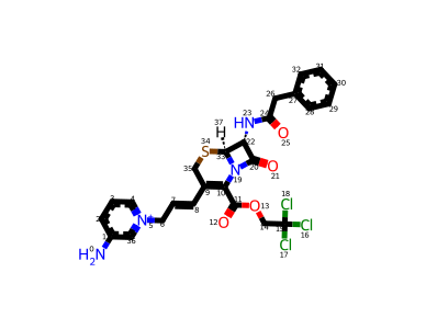 Nc1ccc[n+](C/C=C/C2=C(C(=O)OCC(Cl)(Cl)Cl)N3C(=O)[C@@H](NC(=O)Cc4ccccc4)[C@@H]3SC2)c1